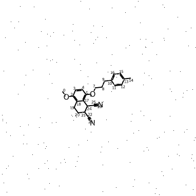 COc1ccc(OCCCc2ccc(C)cc2)c2c1CCC(C#N)C2C#N